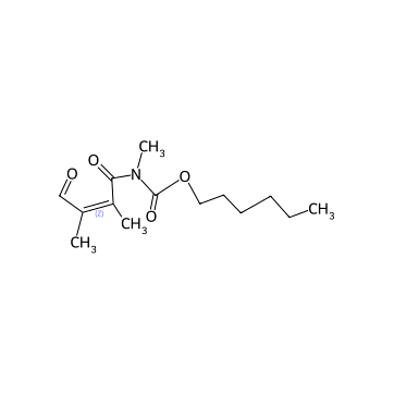 CCCCCCOC(=O)N(C)C(=O)/C(C)=C(/C)C=O